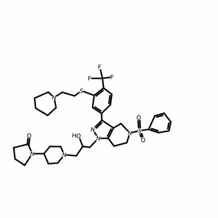 O=C1CCCN1C1CCN(CC(O)Cn2nc(-c3ccc(C(F)(F)F)c(SCCN4CCCCC4)c3)c3c2CCN(S(=O)(=O)c2ccccc2)C3)CC1